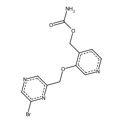 NC(=O)OCc1ccncc1OCc1cncc(Br)n1